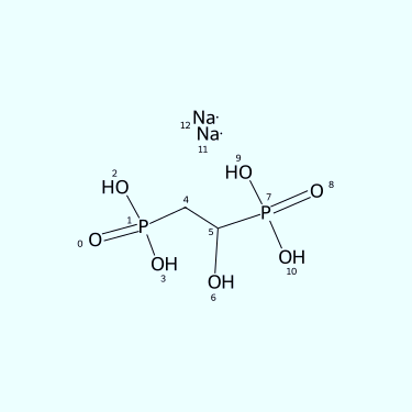 O=P(O)(O)CC(O)P(=O)(O)O.[Na].[Na]